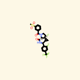 CS(=O)(=O)c1cccc(C(=O)N2C[C@H](F)C[C@@H]2C(=O)NC(c2ccc(C(F)(F)F)cc2F)C2CC2)c1